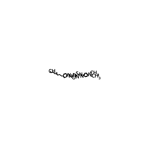 CCCCCCCCc1ccc(N=Nc2cc3sc(N=Nc4ccc(N(CC)CC)cc4)nc3o2)cc1